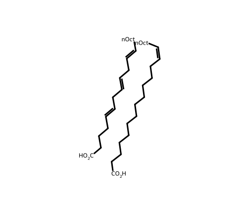 CCCCCCCC/C=C\CCCCCCCCCCCC(=O)O.CCCCCCCCC=CCC=CCC=CCCCC(=O)O